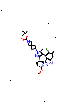 COc1ccc(-c2nn(C3CC4(C3)CN(C(=O)OC(C)(C)C)C4)c(C)c2-c2c(Cl)c(C)cc3[nH]ncc23)cn1